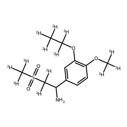 [2H]C([2H])([2H])Oc1ccc(C(N)C([2H])([2H])S(=O)(=O)C([2H])([2H])[2H])cc1OC([2H])([2H])C([2H])([2H])[2H]